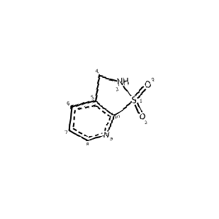 O=S1(=O)NCc2cccnc21